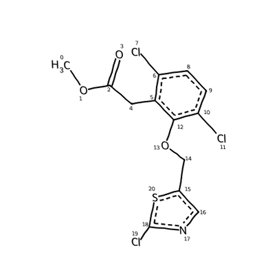 COC(=O)Cc1c(Cl)ccc(Cl)c1OCc1cnc(Cl)s1